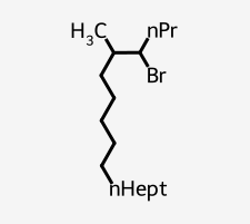 CCCCCCCCCCCCC(C)C(Br)CCC